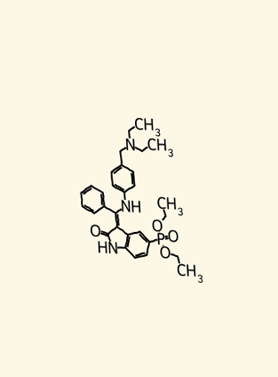 CCOP(=O)(OCC)c1ccc2c(c1)C(=C(Nc1ccc(CN(CC)CC)cc1)c1ccccc1)C(=O)N2